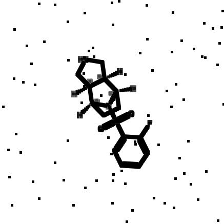 O=S(=O)(c1ccccc1F)N1[C@@H]2CC[C@H]1[C@H]1CNC[C@H]12